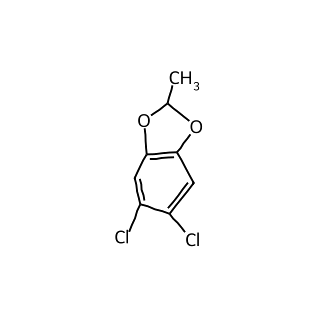 CC1Oc2cc(Cl)c(Cl)cc2O1